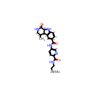 CC(=O)NCCNC(=O)c1ccc(NC(=O)c2ccc3c(c2)C2C(C)CNC(=O)C2N3)cn1